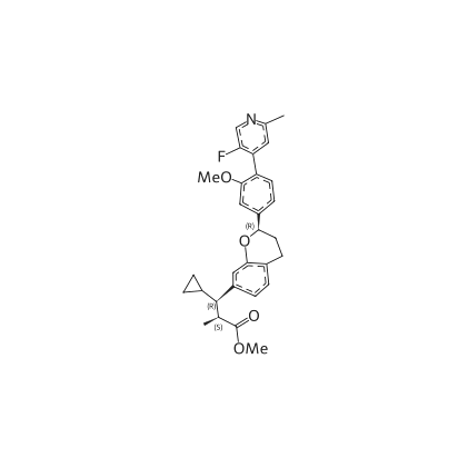 COC(=O)[C@@H](C)[C@H](c1ccc2c(c1)O[C@@H](c1ccc(-c3cc(C)ncc3F)c(OC)c1)CC2)C1CC1